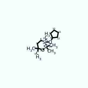 CC1(C)CC[Si](C)(OC2CCCC2)[Si](C)(C)O1